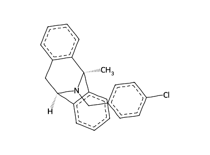 C[C@]12c3ccccc3C[C@H](c3ccccc31)N2Cc1ccc(Cl)cc1